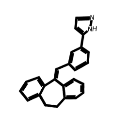 C(=C1c2ccccc2CCc2ccccc21)c1cccc(-c2ccn[nH]2)c1